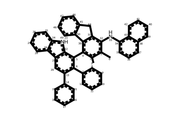 Cc1c(C)c(-c2c(-c3ccccc3)c(-c3ccccc3)cc3c2[nH]c2ccccc23)c2c(c1Nc1cccc3ccccc13)Cc1ccccc1-2